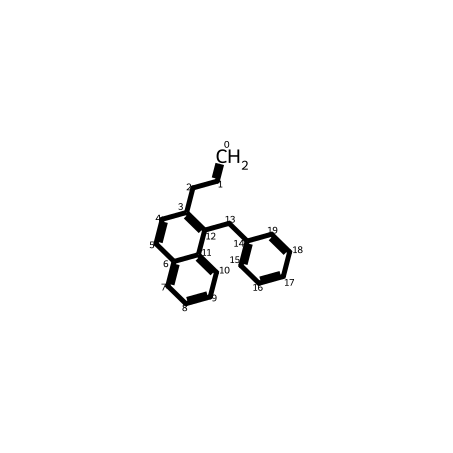 C=CCc1ccc2ccccc2c1Cc1ccccc1